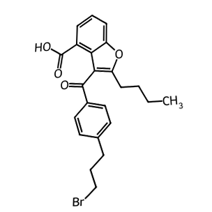 CCCCc1oc2cccc(C(=O)O)c2c1C(=O)c1ccc(CCCBr)cc1